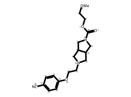 COCCOC(=O)N1CC2CN(CCOc3ccc(C#N)cc3)CC2C1